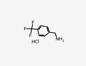 Cl.NCc1ccc(C(F)(F)F)cc1